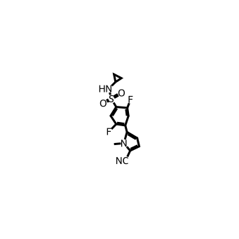 Cn1c(C#N)ccc1-c1cc(F)c(S(=O)(=O)NC2CC2)cc1F